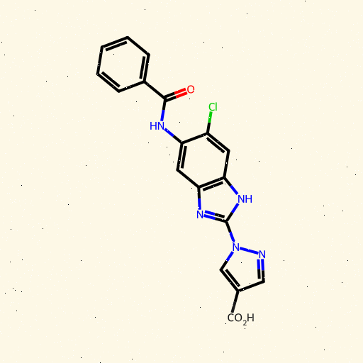 O=C(O)c1cnn(-c2nc3cc(NC(=O)c4ccccc4)c(Cl)cc3[nH]2)c1